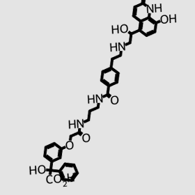 O=C(COc1cccc(C(O)(C(=O)O)c2ccccc2)c1)NCCCNC(=O)c1ccc(CCNCC(O)c2ccc(O)c3[nH]c(=O)ccc23)cc1